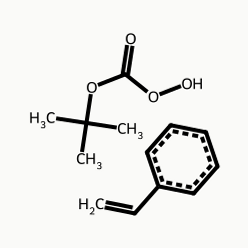 C=Cc1ccccc1.CC(C)(C)OC(=O)OO